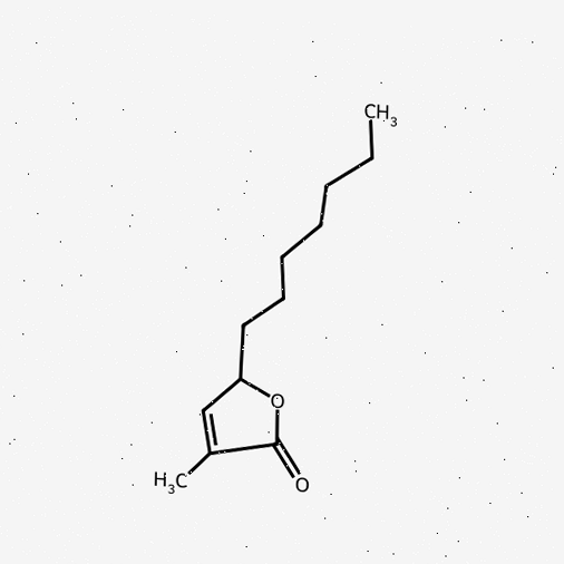 CCCCCCCC1C=C(C)C(=O)O1